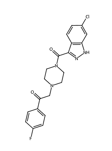 O=C(CN1CCN(C(=O)c2n[nH]c3cc(Cl)ccc23)CC1)c1ccc(F)cc1